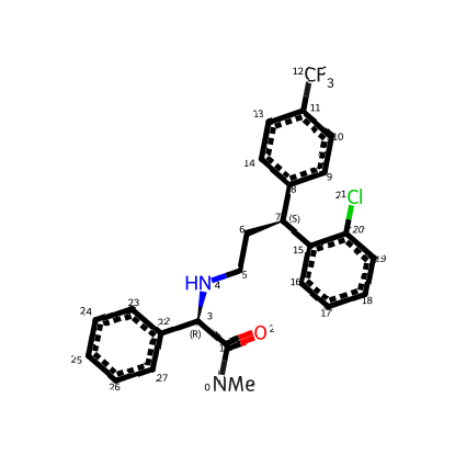 CNC(=O)[C@H](NCC[C@@H](c1ccc(C(F)(F)F)cc1)c1ccccc1Cl)c1ccccc1